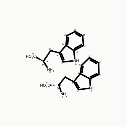 N[C@@H](Cc1c[nH]c2ccccc12)C(=O)O.N[C@H](Cc1c[nH]c2ccccc12)C(=O)O